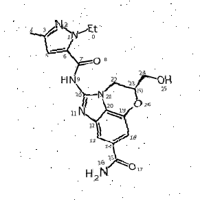 CCn1nc(C)cc1C(=O)Nc1nc2cc(C(N)=O)cc3c2n1C[C@@H](CO)O3